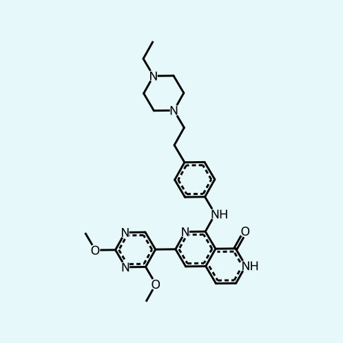 CCN1CCN(CCc2ccc(Nc3nc(-c4cnc(OC)nc4OC)cc4cc[nH]c(=O)c34)cc2)CC1